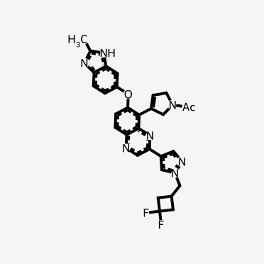 CC(=O)N1CC=C(c2c(Oc3ccc4nc(C)[nH]c4c3)ccc3ncc(-c4cnn(CC5CC(F)(F)C5)c4)nc23)C1